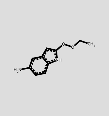 CCOOc1cc2cc(N)ccc2[nH]1